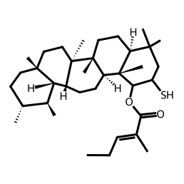 CCC=C(C)C(=O)OC1C(S)CC(C)(C)[C@@H]2CC[C@]3(C)[C@H](CC[C@@H]4[C@@H]5[C@@H](C)[C@H](C)CC[C@]5(C)CC[C@]43C)[C@@]12C